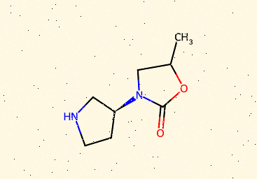 CC1CN([C@H]2CCNC2)C(=O)O1